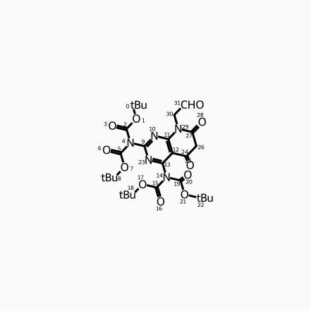 CC(C)(C)OC(=O)N(C(=O)OC(C)(C)C)c1nc2c(c(N(C(=O)OC(C)(C)C)C(=O)OC(C)(C)C)n1)C(=O)CC(=O)N2CC=O